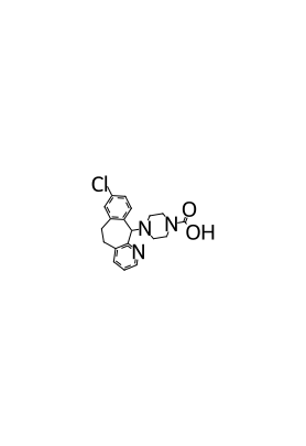 O=C(O)N1CCN(C2c3ccc(Cl)cc3CCc3cccnc32)CC1